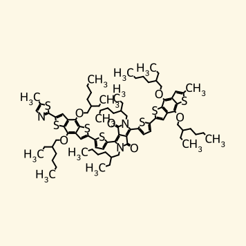 CCCCC(CC)COc1c2cc(-c3ccc(C4=C5C(=O)N(CC(CC)CCCC)C(c6ccc(-c7cc8c(OCC(CC)CCCC)c9sc(-c%10ncc(C)s%10)cc9c(OCC(CC)CCCC)c8s7)s6)=C5C(=O)N4CC(CC)CCCC)s3)sc2c(OCC(CC)CCCC)c2cc(C)sc12